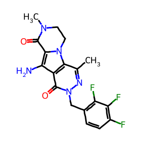 Cc1nn(Cc2ccc(F)c(F)c2F)c(=O)c2c(N)c3n(c12)CCN(C)C3=O